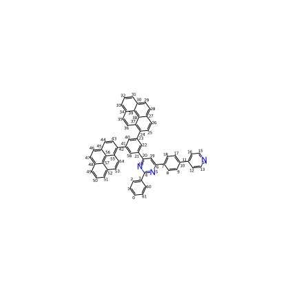 c1ccc(-c2nc(-c3ccc(-c4ccncc4)cc3)cc(-c3cc(-c4ccc5ccc6cccc7ccc4c5c67)cc(-c4ccc5ccc6cccc7ccc4c5c67)c3)n2)cc1